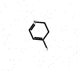 IC1=CC=NCC1